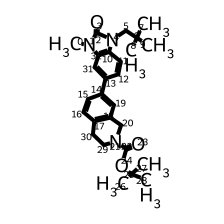 Cn1c(=O)n(CC(C)(C)C)c2ccc(-c3ccc4c(c3)CN(C(=O)OC(C)(C)C)CC4)cc21